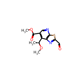 COC(=O)c1cnc2sc(C=O)nc2c1[C@H](C)OC